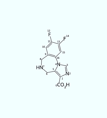 O=C(O)c1ncn2c1CNCc1cc(F)c(F)cc1-2